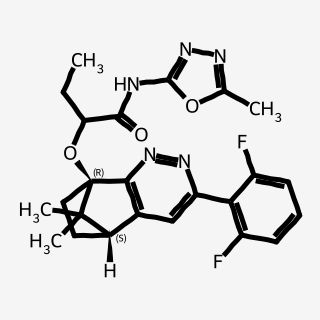 CCC(O[C@@]12CC[C@@H](c3cc(-c4c(F)cccc4F)nnc31)C2(C)C)C(=O)Nc1nnc(C)o1